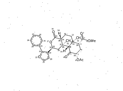 COC(=O)[C@@H]1C[C@H](OC(C)=O)C(=O)[C@H]2[C@@]1(C)CC[C@H]1C(=O)O[C@H](c3ccoc3-c3ccccc3)C[C@]21C